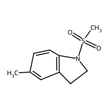 Cc1ccc2c(c1)CCN2S(C)(=O)=O